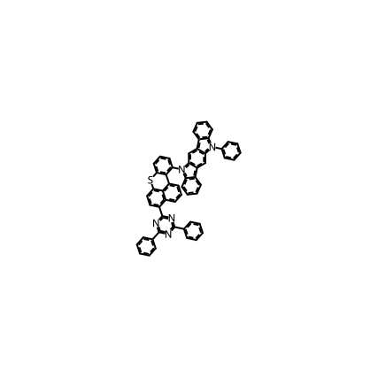 c1ccc(-c2nc(-c3ccccc3)nc(-c3ccc4c5c(cccc35)-c3c(cccc3-n3c5ccccc5c5cc6c(cc53)c3ccccc3n6-c3ccccc3)S4)n2)cc1